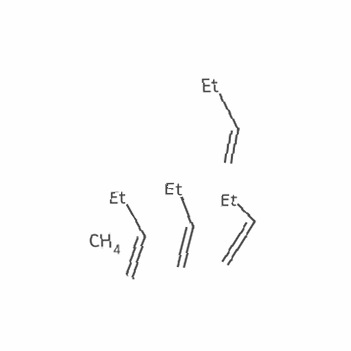 C.C=CCC.C=CCC.C=CCC.C=CCC